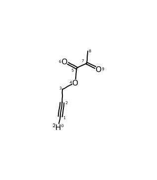 [2H]C#CCOC(=O)C(C)=O